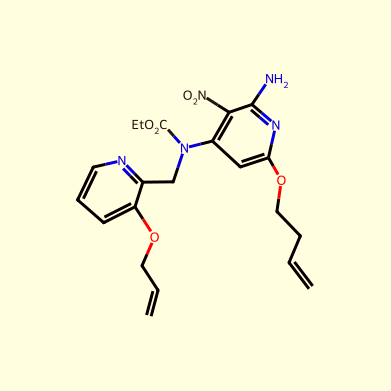 C=CCCOc1cc(N(Cc2ncccc2OCC=C)C(=O)OCC)c([N+](=O)[O-])c(N)n1